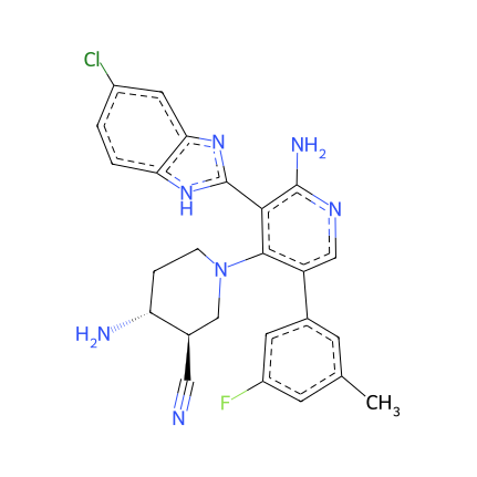 Cc1cc(F)cc(-c2cnc(N)c(-c3nc4cc(Cl)ccc4[nH]3)c2N2CC[C@@H](N)[C@H](C#N)C2)c1